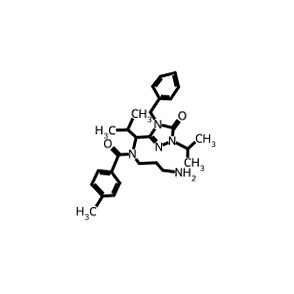 Cc1ccc(C(=O)N(CCCN)C(c2nn(C(C)C)c(=O)n2Cc2ccccc2)C(C)C)cc1